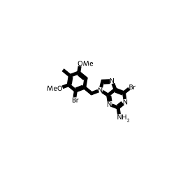 COc1cc(Cn2cnc3c(Br)nc(N)nc32)c(Br)c(OC)c1C